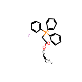 C=CCOC(=O)C[P+](c1ccccc1)(c1ccccc1)c1ccccc1.[I-]